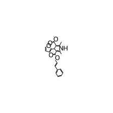 COC(=O)C1=C(C)NC(C)=C(C(=O)OCC=Cc2ccccc2)C1c1ccco1